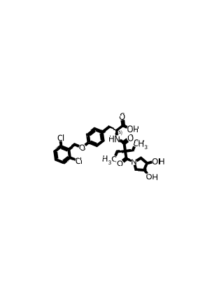 CCC(CC)(C(=O)N[C@@H](Cc1ccc(OCc2c(Cl)cccc2Cl)cc1)C(=O)O)C(=O)N1CC(O)C(O)C1